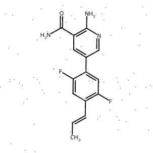 C/C=C/c1cc(F)c(-c2cnc(N)c(C(N)=O)c2)cc1F